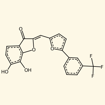 O=C1C(=Cc2ccc(-c3cccc(C(F)(F)F)c3)o2)Oc2c1ccc(O)c2O